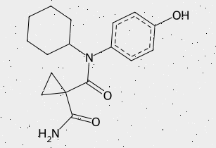 NC(=O)C1(C(=O)N(c2ccc(O)cc2)C2CCCCC2)CC1